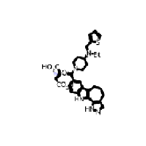 CCN(Cc1cccs1)C1CCN(C(=O)c2ccc3[nH]c4c(c3c2)CCCc2cn[nH]c2-4)CC1.O=C(O)/C=C/C(=O)O